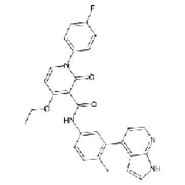 CCOc1ccn(-c2ccc(F)cc2)c(=O)c1C(=O)Nc1ccc(C)c(-c2ccnc3[nH]ccc23)c1